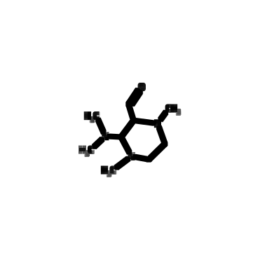 CN(C)C1C(C=O)N(C)CCN1C